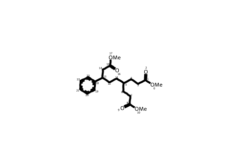 COC(=O)CCC(CCC(=O)OC)CCC(CC(=O)OC)c1ccccc1